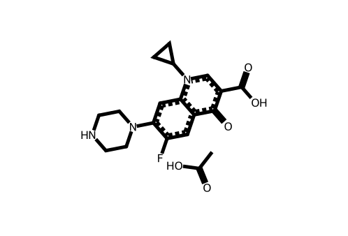 CC(=O)O.O=C(O)c1cn(C2CC2)c2cc(N3CCNCC3)c(F)cc2c1=O